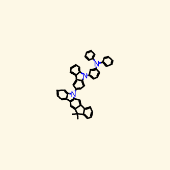 CC1(C)c2ccccc2-c2cc3c(cc21)c1ccccc1n3-c1ccc2c(c1)c1ccccc1n2-c1cccc(N(c2ccccc2)c2ccccc2)c1